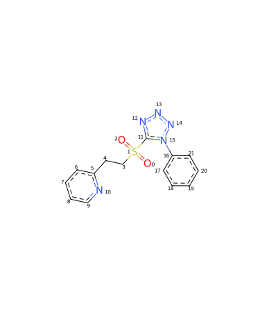 O=S(=O)(CCc1ccccn1)c1nnnn1-c1ccccc1